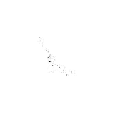 NC(=O)N1CCN(CC2(c3ccc(OCCCN4CCCC4)cc3)CCOCC2)CC1